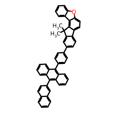 CC1(C)c2cc(-c3ccc(-c4c5ccccc5c(-c5ccc6ccccc6c5)c5ccccc45)cc3)ccc2-c2ccc3oc4ccccc4c3c21